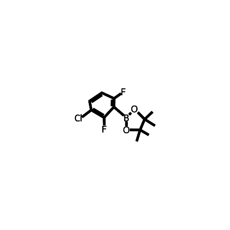 CC1(C)OB(c2c(F)ccc(Cl)c2F)OC1(C)C